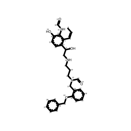 C/C=C\c1c(C(O)CNCCCN(C=O)Cc2ccccc2OCc2ccccc2)ccc(O)c1NC=O